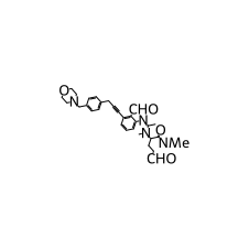 CNC(=O)C(CCC=O)N(C)/C(C)=N\c1cccc(C#CCc2ccc(CN3CCOCC3)cc2)c1C=O